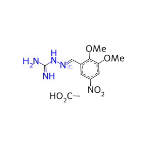 CC(=O)O.COc1cc([N+](=O)[O-])cc(/C=N/NC(=N)N)c1OC